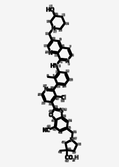 Cc1c(Nc2nccc3cc(CN4CCCC(O)C4)cnc23)cccc1-c1nccc(-c2nc3cc(CN4CCC(C)(C(=O)O)C4)cc(C#N)c3o2)c1Cl